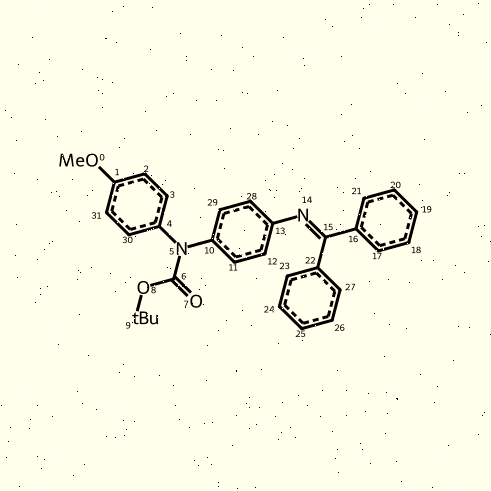 COc1ccc(N(C(=O)OC(C)(C)C)c2ccc(N=C(c3ccccc3)c3ccccc3)cc2)cc1